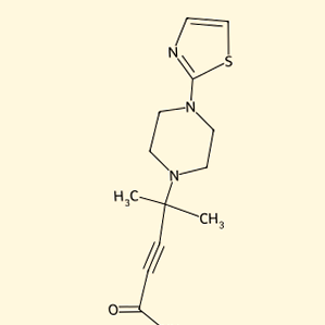 CC(C)(C#CC(N)=O)N1CCN(c2nccs2)CC1